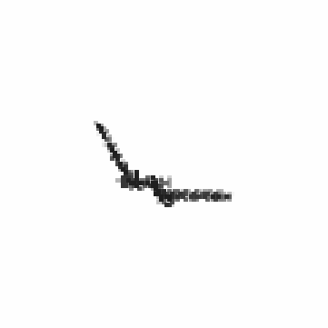 CCCCCCCCCCCCCCCCCC(=O)NC(C)COCCOC(C)COCC(C)NC(=O)CCCCCCCCCCCCCCCCC